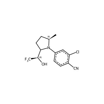 C[C@@H]1CCC([C@@H](O)C(F)(F)F)N1c1ccc(C#N)c(Cl)c1